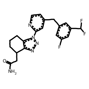 NC(=O)CC1CCCc2c1nnn2-c1cc(Cc2cc(F)cc(C(F)F)c2)ccn1